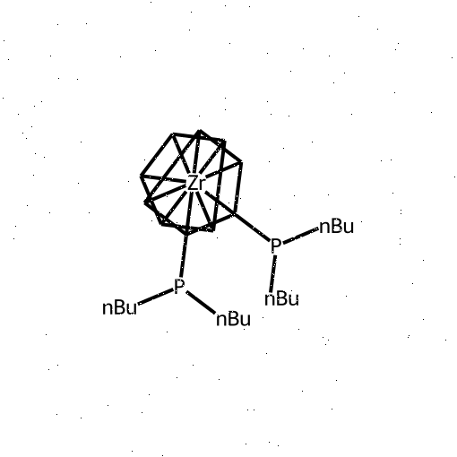 CCCCP(CCCC)[C]12[CH]3[CH]4[CH]5[C]1(P(CCCC)CCCC)[Zr]43521678[CH]2[CH]1[CH]6[CH]7[CH]28